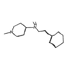 CN1CCC(NCCC2CCCCC2)CC1